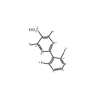 CCOC(=O)c1c(C)nc(-c2c(F)cccc2F)nc1C